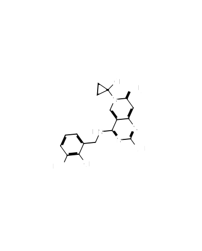 C=C1C=c2nc(C)nc(NCc3cccc(C(F)(F)F)c3C)c2=CN1C1(C)CC1